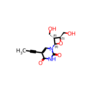 CC#Cc1cn([C@@H]2O[C@H](CO)[C@H]2CO)c(=O)[nH]c1=O